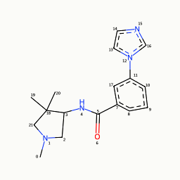 CN1CC(NC(=O)c2cccc(-n3ccnc3)c2)C(C)(C)C1